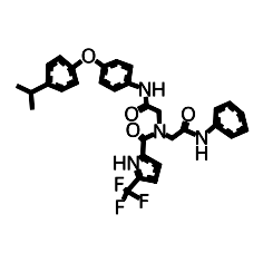 CC(C)c1ccc(Oc2ccc(NC(=O)CN(CC(=O)Nc3ccccc3)C(=O)c3ccc(C(F)(F)F)[nH]3)cc2)cc1